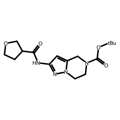 CC(C)(C)OC(=O)N1CCn2nc(NC(=O)C3CCOC3)cc2C1